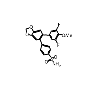 COc1c(F)cc(-c2cc3c(cc2-c2ccc(S(N)(=O)=O)cc2)OCO3)cc1F